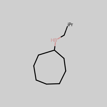 CC(C)CBC1CCCCCCC1